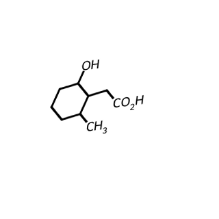 CC1CCCC(O)C1CC(=O)O